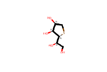 OC[C@@H](O)[C@H]1SC[C@H](O)[C@@H]1O